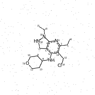 CCc1nc2c(c(NC3CCOCC3)c1CCl)CNN2CC